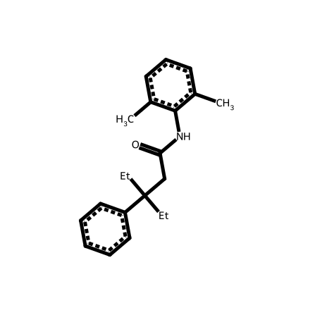 CCC(CC)(CC(=O)Nc1c(C)cccc1C)c1ccccc1